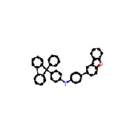 c1ccc(C2(c3ccc(Nc4ccc(-c5ccc6oc7ccccc7c6c5)cc4)cc3)c3ccccc3-c3ccccc32)cc1